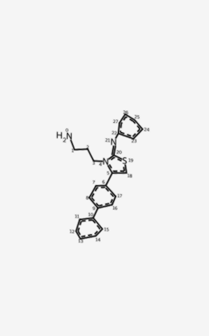 NCCCn1c(-c2ccc(-c3ccccc3)cc2)csc1=Nc1ccccc1